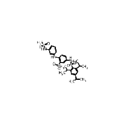 CC(C)c1cc(C(C)C)c(S(=O)(=O)Nc2ccc(Nc3cccc(NS(C)(=O)=O)c3)c([N+](=O)[O-])c2)c(C(C)C)c1